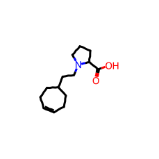 O=C(O)C1CCCN1CCC1CCC=CCC1